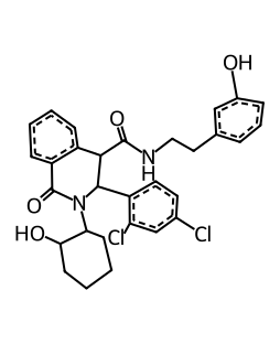 O=C(NCCc1cccc(O)c1)C1c2ccccc2C(=O)N(C2CCCCC2O)C1c1ccc(Cl)cc1Cl